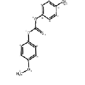 COc1ccc(OC(=S)Oc2ccc(C)cc2)cc1